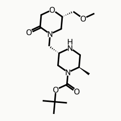 COC[C@@H]1CN(C[C@H]2CN(C(=O)OC(C)(C)C)[C@H](C)CN2)C(=O)CO1